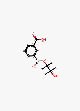 CC(C)(O)C(C)(C)OB(O)c1cccc(C(=O)O)c1